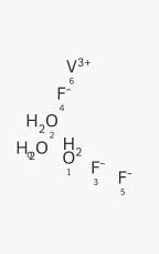 O.O.O.[F-].[F-].[F-].[V+3]